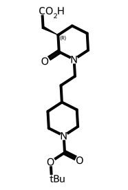 CC(C)(C)OC(=O)N1CCC(CCN2CCC[C@H](CC(=O)O)C2=O)CC1